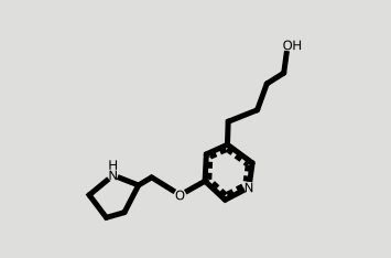 OCCCCc1cncc(OCC2CCCN2)c1